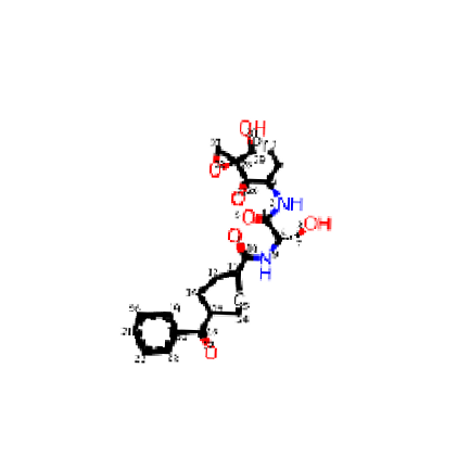 CC(C)CC(NC(=O)[C@H](CO)NC(=O)C1CCC(C(=O)c2ccccc2)CC1)C(=O)C1(CO)CO1